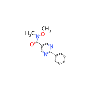 CON(C)C(=O)c1cnc(-c2ccccc2)nc1